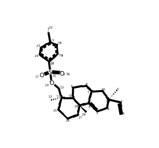 C=C[C@@]1(C)CC=C2C(CCC3[C@](C)(COS(=O)(=O)c4ccc(I)cc4)CCC[C@@]23C)C1